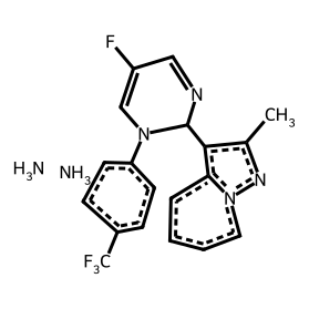 Cc1nn2ccccc2c1C1N=CC(F)=CN1c1ccc(C(F)(F)F)cc1.N.N